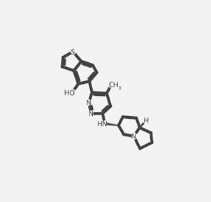 Cc1cc(N[C@H]2CC[C@@H]3CCCN3C2)nnc1-c1ccc2sccc2c1O